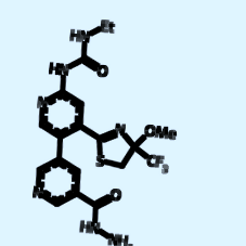 CCNC(=O)Nc1cc(C2=NC(OC)(C(F)(F)F)CS2)c(-c2cncc(C(=O)NN)c2)cn1